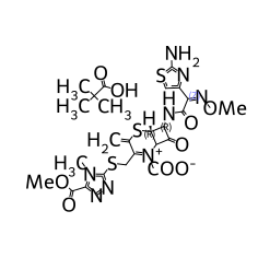 C=C1S[C@H]2C(C(=O)[C@H]2NC(=O)/C(=N\OC)c2csc(N)n2)[N+](C(=O)[O-])=C1CSc1nnc(C(=O)OC)n1C.CC(C)(C)C(=O)O